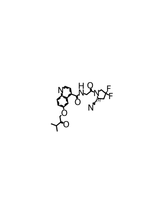 CC(C)C(=O)COc1ccc2nccc(C(=O)NCC(=O)N3CC(F)(F)C[C@H]3C#N)c2c1